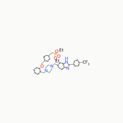 CCOP(=O)(Cc1ccc(COc2ccccc2CN2CCN(Cc3ccc4nc(-c5ccc(C(F)(F)F)cc5)[nH]c4c3)CC2)cc1)OCC